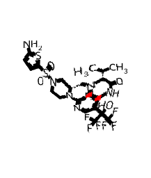 CC(C)[C@@H]1C(=O)NCCN1C[C@H]1CN(S(=O)(=O)c2ccc(N)s2)CCN1c1ncc(C(O)(C(F)(F)F)C(F)(F)F)cn1